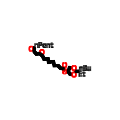 CCCCCC1OC1CC1OC1CCCCCCCC(=O)OC1COC(C(CC)CCCC)OC1